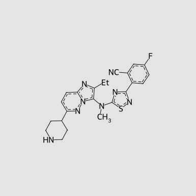 CCc1nc2ccc(C3CCNCC3)nn2c1N(C)c1nc(-c2ccc(F)cc2C#N)ns1